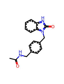 CC(=O)NCc1ccc(Cn2c(=O)[nH]c3ccccc32)cc1